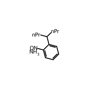 CCCC(CCC)c1ccccc1N=O.N